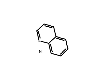 [N].c1ccc2ncccc2c1